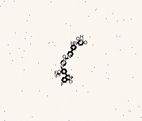 Cn1cc(-c2ccc(CN3CCN(C(=O)CN4CCC(c5ccc(NC6CCC(=O)NC6=O)cc5)CC4)CC3)c(OC(F)(F)F)c2)c2ccc(F)cc2c1=O